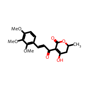 COc1ccc(/C=C/C(=O)C2=C(O)CC(C)OC2=O)c(OC)c1OC